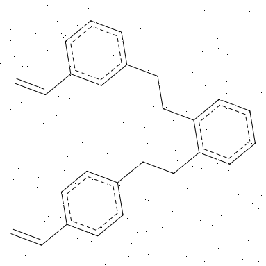 C=Cc1ccc(CCc2ccccc2CCc2cccc(C=C)c2)cc1